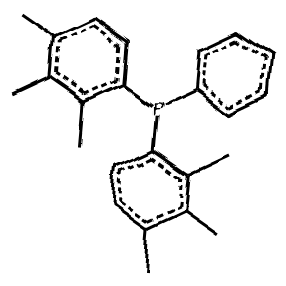 Cc1ccc(P(c2ccccc2)c2ccc(C)c(C)c2C)c(C)c1C